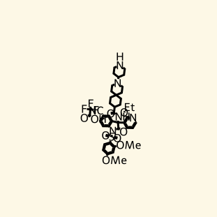 CCOc1ncccc1C1(NC(=O)C2CCC3(CC2)CCN(C2CCNCC2)CC3)C(=O)N(S(=O)(=O)c2ccc(OC)cc2OC)c2ccc(C#N)cc21.O=C(O)C(F)(F)F